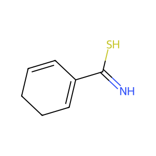 N=C(S)C1=CCCC=C1